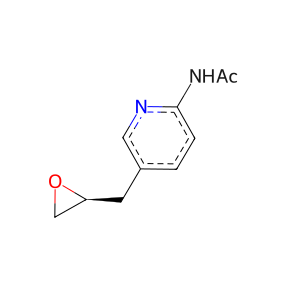 CC(=O)Nc1ccc(C[C@H]2CO2)cn1